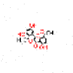 CC(=O)c1c(O)cc(O)cc1-c1cc(=O)c2c(O)ccc(C(C)=O)c2o1